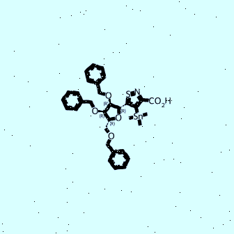 [CH3][Sn]([CH3])([CH3])[c]1c(C(=O)O)nsc1[C@@H]1O[C@H](COCc2ccccc2)[C@@H](OCc2ccccc2)[C@H]1OCc1ccccc1